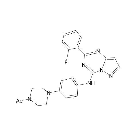 CC(=O)N1CCN(c2ccc(Nc3nc(-c4ccccc4F)nc4ccnn34)cc2)CC1